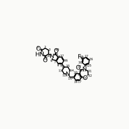 O=C1CCC(N2Cc3cc(C4CCN(Cc5ccc6c(c5)C(=O)N(c5cccc(F)c5)CCO6)CC4)ccc3C2=O)C(=O)N1